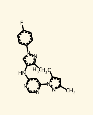 Cc1cc(C)n(-c2cc(Nc3cn(-c4ccc(F)cc4)nc3C)ncn2)n1